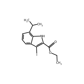 CCOC(=O)c1[nH]c2c(C(C)C)cccc2c1I